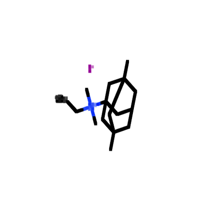 CC(C)(C)C[N+](C)(C)C12CC3CC(C)(CC(C)(C3)C1)C2.[I-]